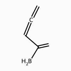 BC(=C)C=C=C